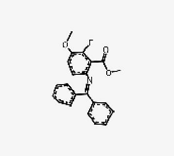 COC(=O)c1c(N=C(c2ccccc2)c2ccccc2)ccc(OC)c1F